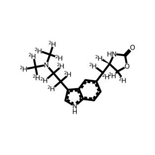 [2H]C([2H])([2H])N(C([2H])([2H])[2H])C([2H])([2H])C([2H])([2H])c1c[nH]c2ccc(C([2H])([2H])[C@]3([2H])NC(=O)OC3([2H])[2H])cc12